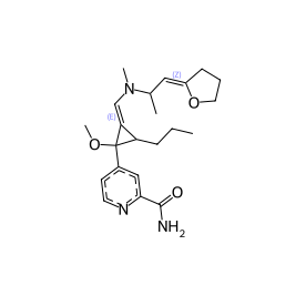 CCCC1/C(=C\N(C)C(C)/C=C2/CCCO2)C1(OC)c1ccnc(C(N)=O)c1